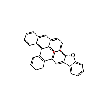 C1=CC(c2c3ccccc3cc3ccccc23)=C(c2ccc3oc4ccccc4c3c2)CC1